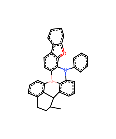 CC1CCc2cccc3c2C1c1cccc2c1B3c1ccc3c(oc4ccccc43)c1N2c1ccccc1